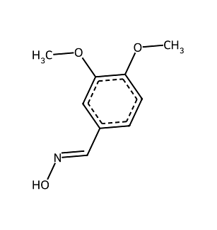 COc1ccc(C=NO)cc1OC